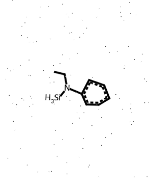 CCN([SiH3])c1ccccc1